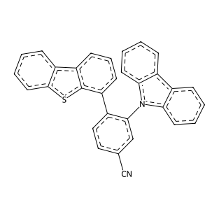 N#Cc1ccc(-c2cccc3c2sc2ccccc23)c(-n2c3ccccc3c3ccccc32)c1